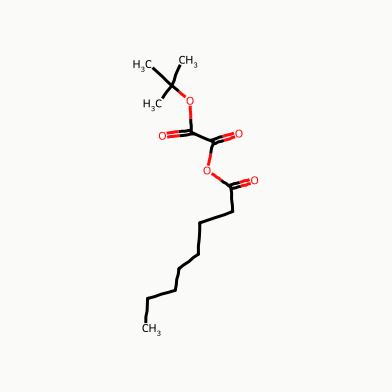 CCCCCCCC(=O)OC(=O)C(=O)OC(C)(C)C